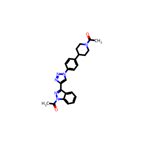 CC(=O)N1CCC(c2ccc(-n3cc(-c4nn(C(C)=O)c5ccccc45)nn3)cc2)CC1